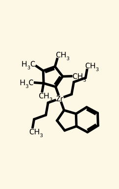 CCC[CH2][Zr]([CH2]CCC)([C]1=C(C)C(C)=C(C)C1(C)C)[CH]1CCC2C=CC=CC21